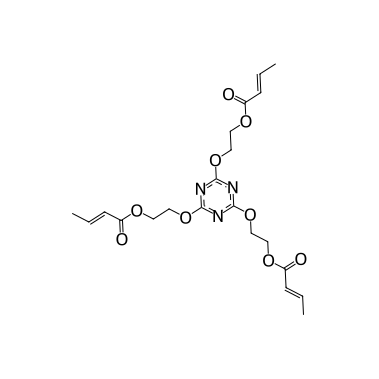 CC=CC(=O)OCCOc1nc(OCCOC(=O)C=CC)nc(OCCOC(=O)C=CC)n1